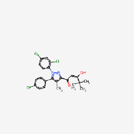 Cc1c(C(=O)/C=C(/O)C(C)(C)C)nn(-c2ccc(Cl)cc2Cl)c1-c1ccc(Cl)cc1